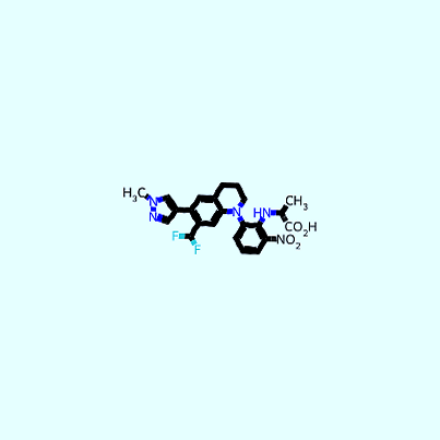 CC(Nc1c(N2CCCc3cc(-c4cnn(C)c4)c(C(F)F)cc32)cccc1[N+](=O)[O-])C(=O)O